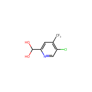 OC(O)c1cc(C(F)(F)F)c(Cl)cn1